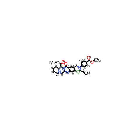 C#CCN(Cc1cc2c(=O)n(CC(=O)OC)c(CN3CCCCC3)nc2cc1Cl)c1ccc(C(=O)OC(C)(C)C)cc1